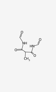 C[C](C(=O)NC=O)C(=O)NC=O